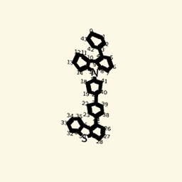 c1ccc(-c2cccc3c2c2ccccc2n3-c2ccc(-c3ccc(-c4cccc5sc6ccccc6c45)cc3)cc2)cc1